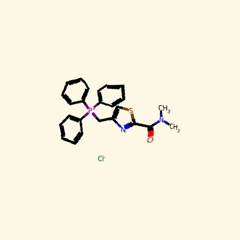 CN(C)C(=O)c1nc(C[P+](c2ccccc2)(c2ccccc2)c2ccccc2)cs1.[Cl-]